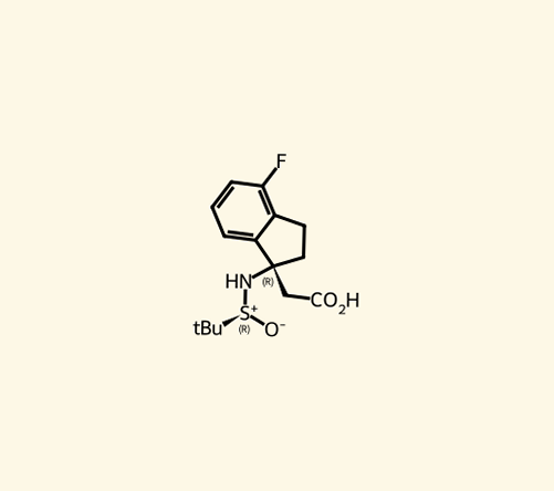 CC(C)(C)[S@+]([O-])N[C@@]1(CC(=O)O)CCc2c(F)cccc21